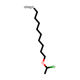 CCCCCCCCCCCCCCCCOC(C)Br